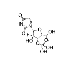 CC(O)[C@H]1O[C@@H](n2ccc(=O)[nH]c2=O)[C@@](O)(F)[C@@H]1OP(=O)(O)O